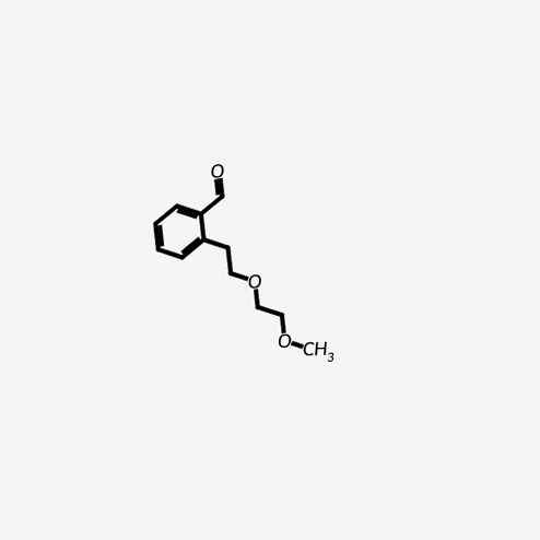 COCCOCCc1ccccc1C=O